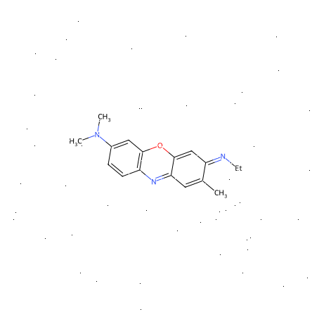 CC/N=c1/cc2oc3cc(N(C)C)ccc3nc-2cc1C